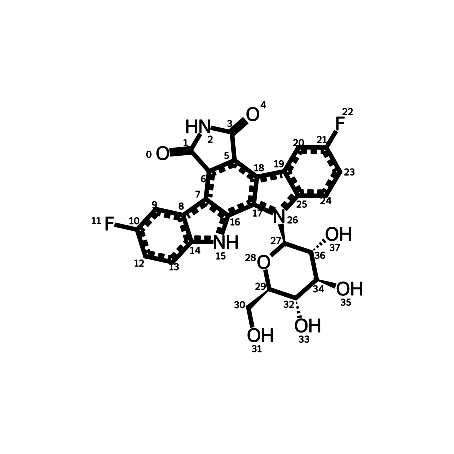 O=C1NC(=O)c2c1c1c3cc(F)ccc3[nH]c1c1c2c2cc(F)ccc2n1[C@@H]1O[C@H](CO)[C@@H](O)[C@H](O)[C@H]1O